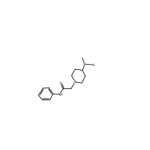 CC(=O)N(C)C1CCN(CC(=O)Nc2ccccc2)CC1